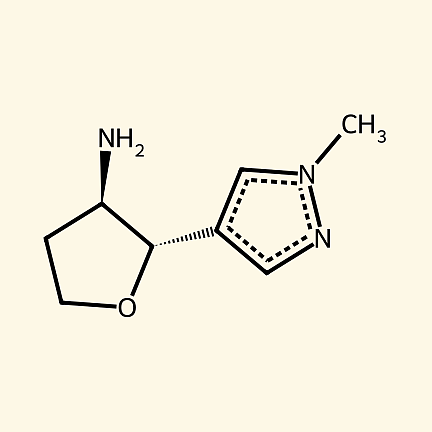 Cn1cc([C@@H]2OCC[C@H]2N)cn1